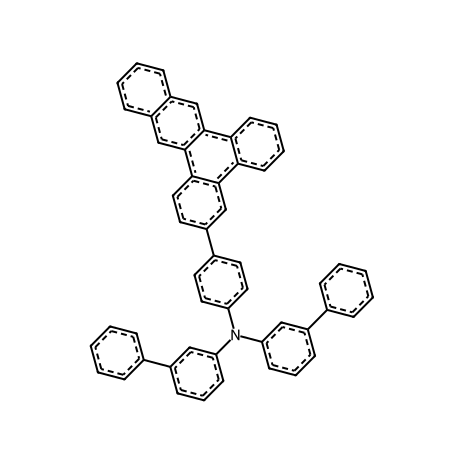 c1ccc(-c2cccc(N(c3ccc(-c4ccc5c(c4)c4ccccc4c4cc6ccccc6cc54)cc3)c3cccc(-c4ccccc4)c3)c2)cc1